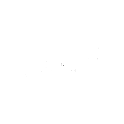 Cc1c(C(O)CN2CCC3(CC2)CCN(c2cccnc2)C3=O)ccc2c1COC2=O